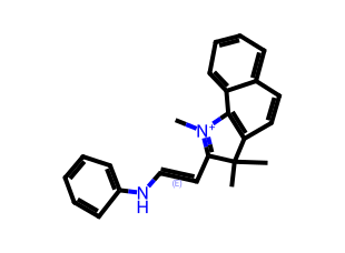 C[N+]1=C(/C=C/Nc2ccccc2)C(C)(C)c2ccc3ccccc3c21